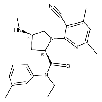 CCN(C(=O)[C@H]1C[C@@H](NC)CN1c1nc(C)cc(C)c1C#N)c1cccc(C)c1